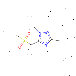 [CH2]S(=O)(=O)Cc1nc(C)nn1C